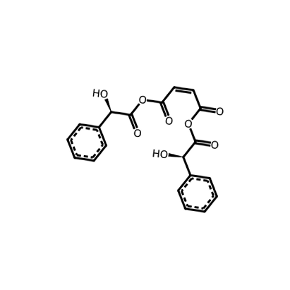 O=C(/C=C\C(=O)OC(=O)[C@H](O)c1ccccc1)OC(=O)[C@H](O)c1ccccc1